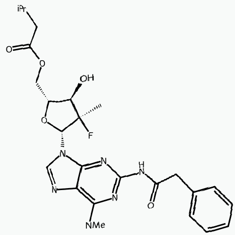 CNc1nc(NC(=O)Cc2ccccc2)nc2c1ncn2[C@@H]1O[C@H](COC(=O)CC(C)C)[C@@H](O)[C@@]1(C)F